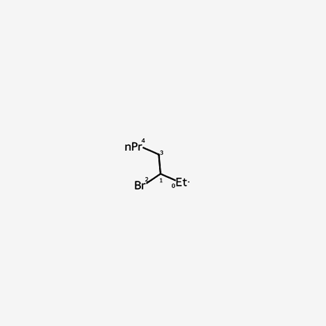 C[CH]C(Br)CCCC